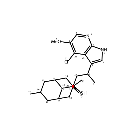 COc1cnc2[nH]cc(C(C)CC(=O)N3C4CC(C)CC3CC(C)(O)C4)c2c1Cl